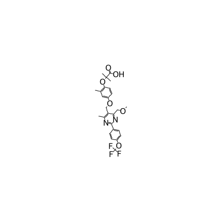 COCc1nc(-c2ccc(OC(F)(F)F)cc2)nc(C)c1COc1ccc(OC(C)(C)C(=O)O)c(C)c1